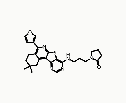 CC1(C)CCc2c(-c3ccoc3)nc3sc4c(NCCCN5CCCC5=O)ncnc4c3c2C1